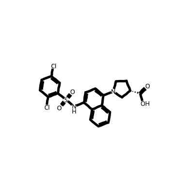 O=C(O)[C@H]1CCN(c2ccc(NS(=O)(=O)c3cc(Cl)ccc3Cl)c3ccccc23)C1